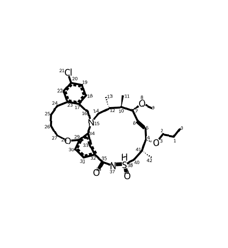 CCCO[C@H]1/C=C/[C@H](OC)[C@H](C)[C@@H](C)CN2Cc3ccc(Cl)cc3CCCCOc3ccc(cc32)C(=O)/N=[SH](=O)\C[C@H]1C